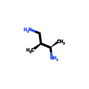 C[C@H](N)[C@@H](C)CN